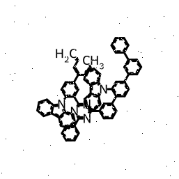 C=C/C=C(\C=C/C)c1ccc(-n2c3ccccc3c3ccccc32)c(-c2nc(-c3ccccc3)nc(-c3cccc(-c4ccc(-c5cccc(-c6ccccc6)c5)cc4-n4c5ccccc5c5ccccc54)c3)n2)c1